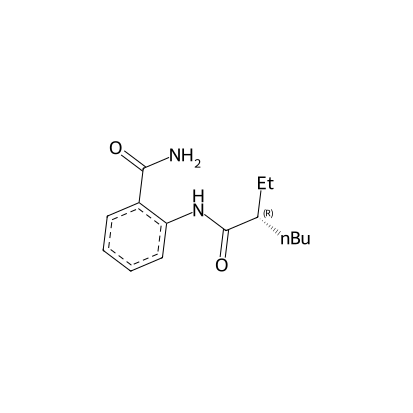 CCCC[C@@H](CC)C(=O)Nc1ccccc1C(N)=O